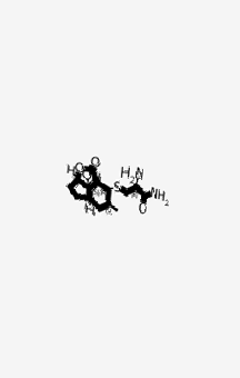 C[C@H]1C[C@H]2CC[C@H]3OC(=O)C([C@@H]1SC[C@H](N)C(N)=O)[C@@]23O